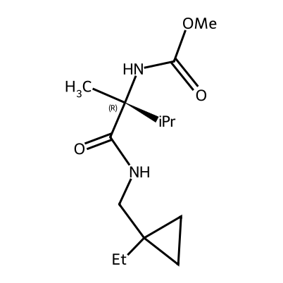 CCC1(CNC(=O)[C@](C)(NC(=O)OC)C(C)C)CC1